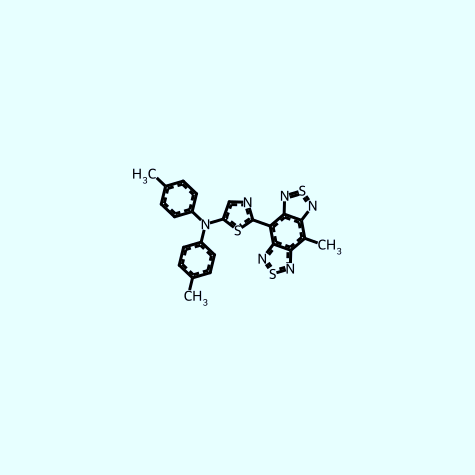 Cc1ccc(N(c2ccc(C)cc2)c2cnc(-c3c4c(c(C)c5nsnc35)N=S=N4)s2)cc1